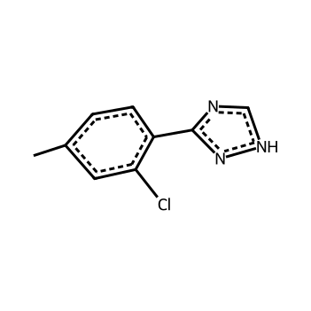 Cc1ccc(-c2nc[nH]n2)c(Cl)c1